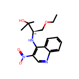 CCOC[C@@H](Nc1c([N+](=O)[O-])cnc2ccccc12)C(C)(C)O